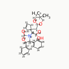 CC1(C)COC(CC2([C@@H](C(=O)O)N3C(=O)O[C@H](c4ccccc4)[C@@H]3c3ccccc3)CC=CC2)OC1